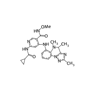 CONC(=O)c1cnc(NC(=O)C2CC2)cc1Nc1cccc2c1N(C)C(C)c1nc(C)nn1-2